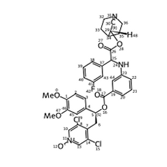 COc1ccc([C@H](Cc2c(Cl)c[n+]([O-])cc2Cl)OC(=O)c2cccc(NC(C(=O)O[C@H]3CN4CCC3CC4)c3cccc(F)c3)c2)cc1OC